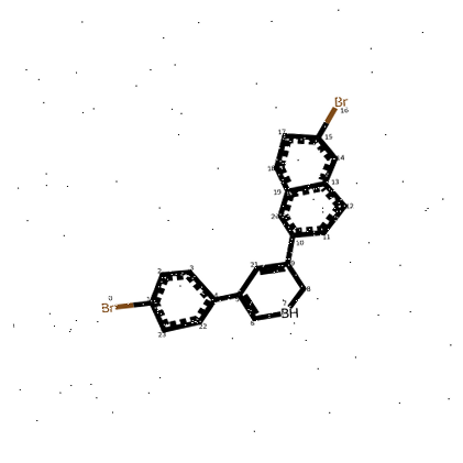 Brc1ccc(C2=CBCC(c3ccc4cc(Br)ccc4c3)=C2)cc1